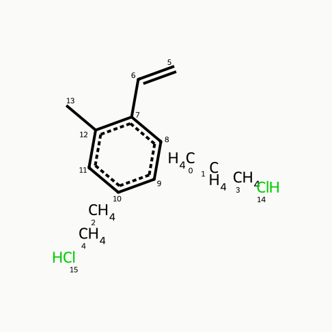 C.C.C.C.C.C=Cc1ccccc1C.Cl.Cl